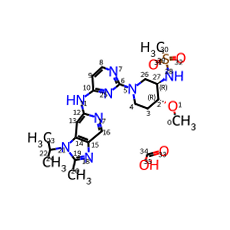 CO[C@@H]1CCN(c2nccc(Nc3cc4c(cn3)nc(C)n4C(C)C)n2)C[C@H]1NS(C)(=O)=O.O=CO